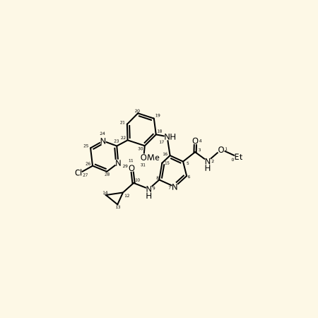 CCONC(=O)c1cnc(NC(=O)C2CC2)cc1Nc1cccc(-c2ncc(Cl)cn2)c1OC